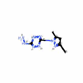 Cc1cc(C)n(-c2nnc(NN)nn2)n1